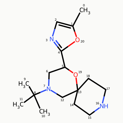 Cc1cnc(C2CN(C(C)(C)C)CC3(CCNCC3)O2)o1